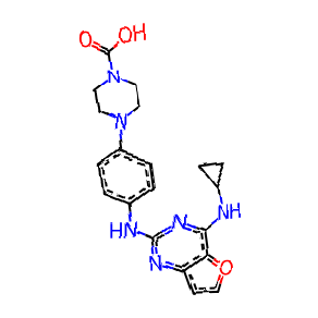 O=C(O)N1CCN(c2ccc(Nc3nc(NC4CC4)c4occc4n3)cc2)CC1